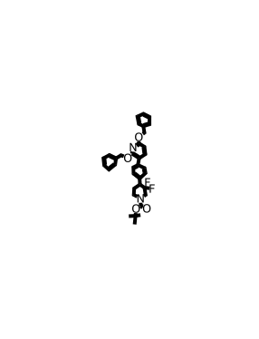 CC(C)(C)OC(=O)N1CCC(c2ccc(-c3ccc(OCc4ccccc4)nc3OCc3ccccc3)cc2)C(F)(F)C1